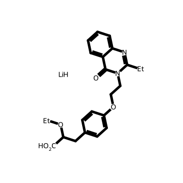 CCOC(Cc1ccc(OCCn2c(CC)nc3ccccc3c2=O)cc1)C(=O)O.[LiH]